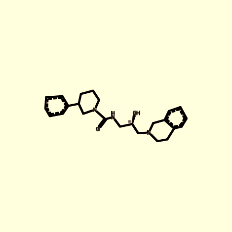 O=C(NC[C@@H](O)CN1CCc2ccccc2C1)N1CCCC(c2ccccc2)C1